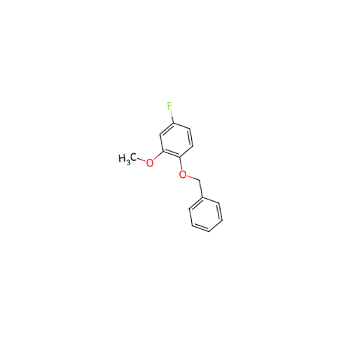 COc1cc(F)ccc1OCc1ccccc1